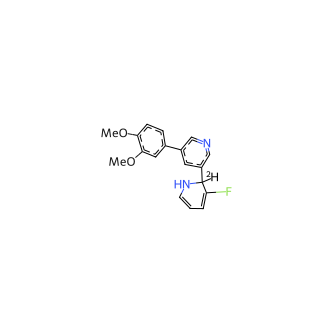 [2H]C1(c2cncc(-c3ccc(OC)c(OC)c3)c2)NC=CC=C1F